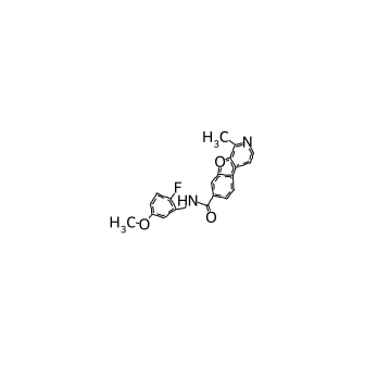 COc1ccc(F)c(CNC(=O)c2ccc3c(c2)oc2c(C)nccc23)c1